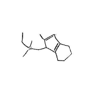 CC[Si](C)(C)CC1C(C)=[C]C2=C1CCCC2